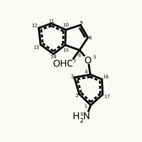 Nc1ccc(OC2(C=O)C=Cc3ccccc32)cc1